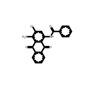 Nc1c(Cl)cc(NC(=O)c2ccccc2)c2c1C(=O)c1ccccc1C2=O